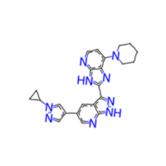 c1cc(N2CCCCC2)c2nc(-c3n[nH]c4ncc(-c5cnn(C6CC6)c5)cc34)[nH]c2n1